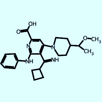 COC(C)C1CCN(c2cc(C(=O)O)nc(Nc3ccccc3)c2C(=N)C2CCC2)CC1